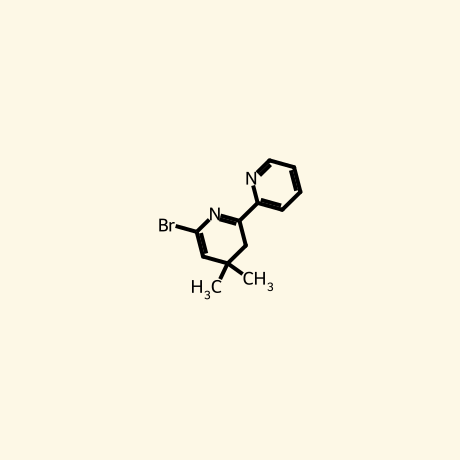 CC1(C)C=C(Br)N=C(c2ccccn2)C1